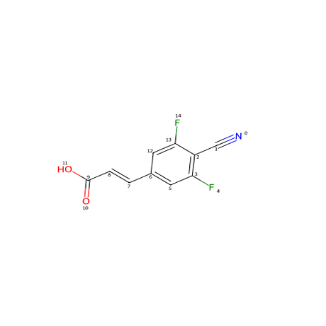 N#Cc1c(F)cc(/C=C/C(=O)O)cc1F